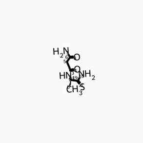 C[C@@H](NC(=O)[CH]C(N)=O)C(N)=S